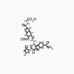 CCn1nc(C)cc1C(=O)Nc1nc2cc(C(N)=O)ccc2n1CCCOc1cc2cc(C(=O)CCC(=O)O)sc2cc1OC